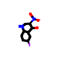 O=c1c([N+](=O)[O-])c[nH]c2ccc(I)cc12